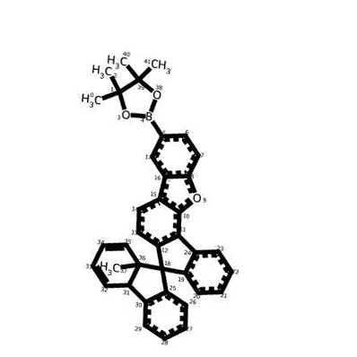 CC1(C)OB(c2ccc3oc4c5c(ccc4c3c2)C2(c3ccccc3-5)c3ccccc3C3C=CC=CC32C)OC1(C)C